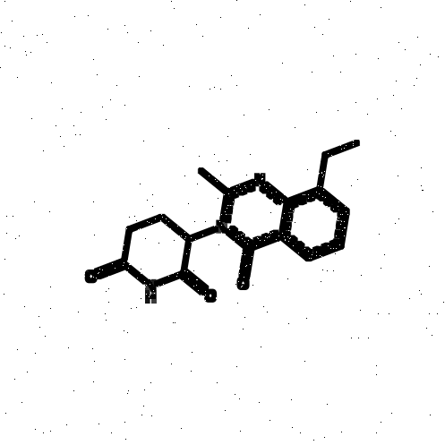 CCc1cccc2c(=O)n(C3CCC(=O)NC3=O)c(C)nc12